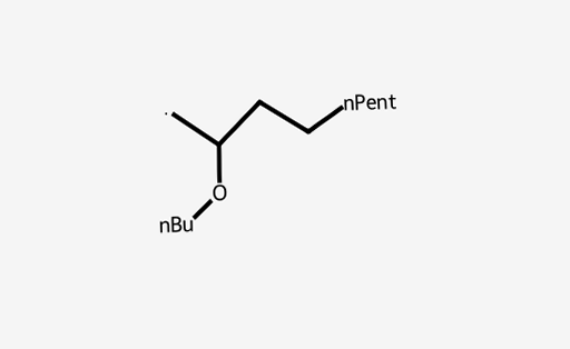 [CH2]C(CCCCCCC)OCCCC